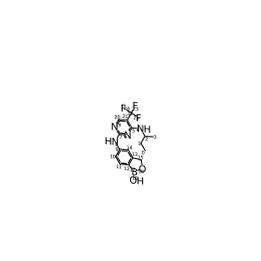 CCC(C)Nc1nc(Nc2ccc3c(c2)COB3O)ncc1C(F)(F)F